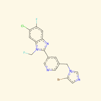 FCn1c(-c2cncc(Cn3cncc3Br)c2)nc2cc(F)c(Cl)cc21